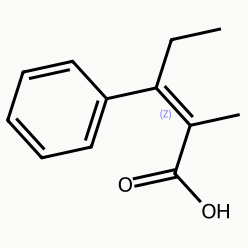 CC/C(=C(\C)C(=O)O)c1ccccc1